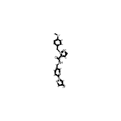 COc1ccc(Cn2nccc2C(=O)NCc2ccc(-n3cc(F)cn3)nc2)cc1